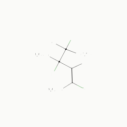 COC(F)C(C(F)(F)F)C(F)(OC)C(F)(OC)C(F)(F)F